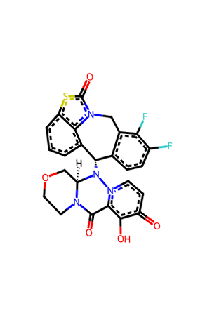 O=C1c2c(O)c(=O)ccn2N([C@H]2c3ccc(F)c(F)c3Cn3c(=O)sc4cccc2c43)[C@@H]2COCCN12